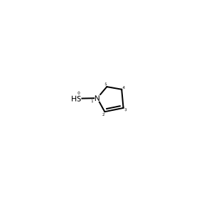 SN1C=CCC1